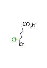 CCC(Cl)CCCCC(=O)O